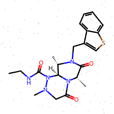 CCNC(=O)N1[C@H]2[C@H](C)N(Cc3csc4ccccc34)C(=O)[C@H](C)N2C(=O)CN1C